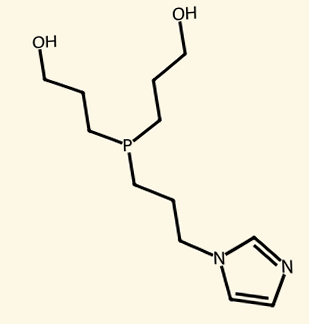 OCCCP(CCCO)CCCn1ccnc1